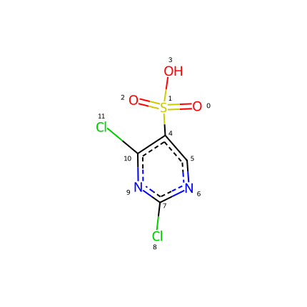 O=S(=O)(O)c1cnc(Cl)nc1Cl